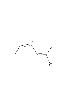 C/C=C(I)\C=C(/C)Cl